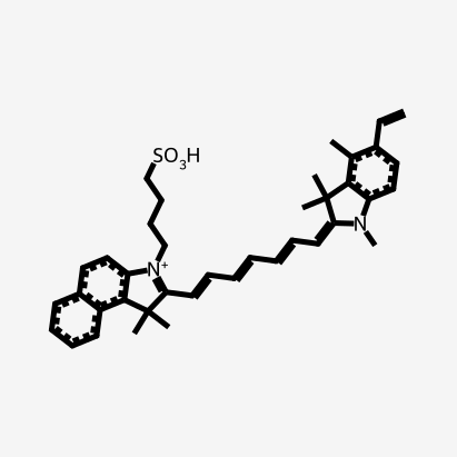 C=Cc1ccc2c(c1C)C(C)(C)\C(=C/C=C/C=C/C=C/C1=[N+](CCCCS(=O)(=O)O)c3ccc4ccccc4c3C1(C)C)N2C